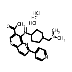 CC(=O)c1cnc2ccc(-c3ccncc3)nc2c1NC1CCC(CN(C)C)CC1.Cl.Cl.Cl